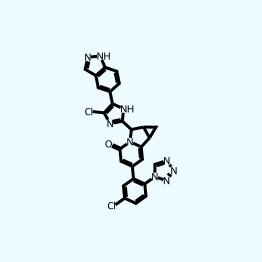 O=c1cc(-c2cc(Cl)ccc2-n2cnnn2)cc2n1C(c1nc(Cl)c(-c3ccc4[nH]ncc4c3)[nH]1)C1CC21